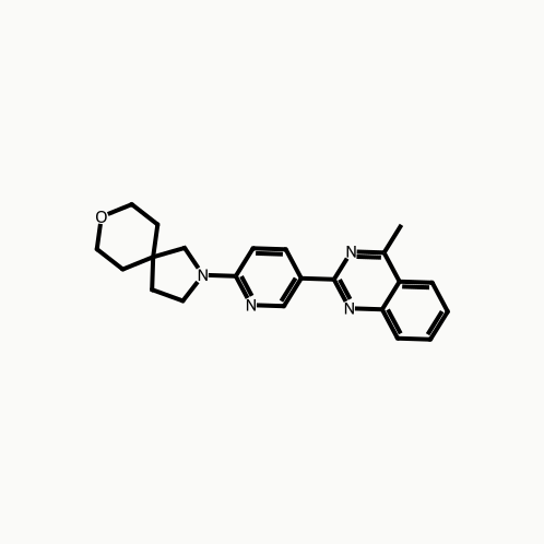 Cc1nc(-c2ccc(N3CCC4(CCOCC4)C3)nc2)nc2ccccc12